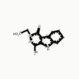 CC(C)c1nn(CC(=O)O)c(=O)c2c1[nH]c1ccccc12